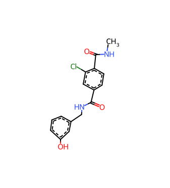 CNC(=O)c1ccc(C(=O)NCc2cccc(O)c2)cc1Cl